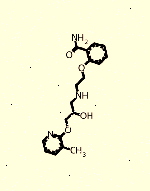 Cc1cccnc1OCC(O)CNCCOc1ccccc1C(N)=O